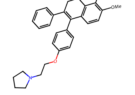 COc1ccc2c(c1OC)CCC(c1ccccc1)=C2c1ccc(OCCN2CCCC2)cc1